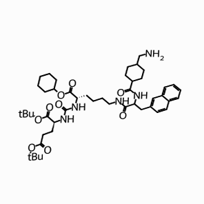 CC(C)(C)OC(=O)CC[C@H](NC(=O)N[C@@H](CCCCNC(=O)C(Cc1ccc2ccccc2c1)NC(=O)C1CCC(CN)CC1)C(=O)OC1CCCCC1)C(=O)OC(C)(C)C